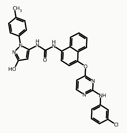 Cc1ccc(-n2nc(O)cc2NC(=O)Nc2ccc(Oc3ccnc(Nc4cccc(Cl)c4)n3)c3ccccc23)cc1